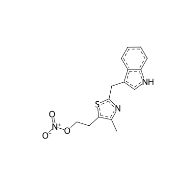 Cc1nc(Cc2c[nH]c3ccccc23)sc1CCO[N+](=O)[O-]